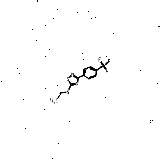 CCSc1nc(-c2ccc(C(F)(F)F)cc2)ns1